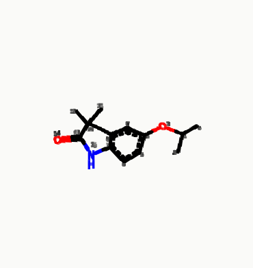 CC(C)Oc1ccc2c(c1)C(C)(C)C(=O)N2